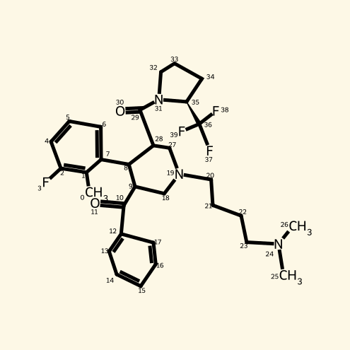 Cc1c(F)cccc1C1C(C(=O)c2ccccc2)CN(CCCCN(C)C)CC1C(=O)N1CCC[C@H]1C(F)(F)F